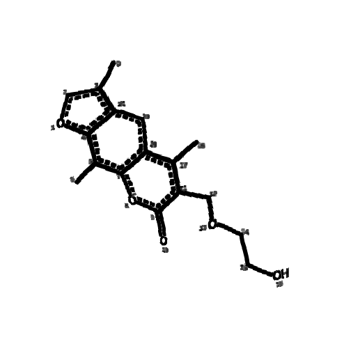 Cc1coc2c(C)c3oc(=O)c(COCCO)c(C)c3cc12